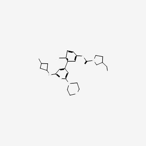 Cc1ccc(NC(=O)N2CCC(CC(F)(F)F)C2)cc1-c1cc(NC2CC(O)C2)nc(N2CCOCC2)c1